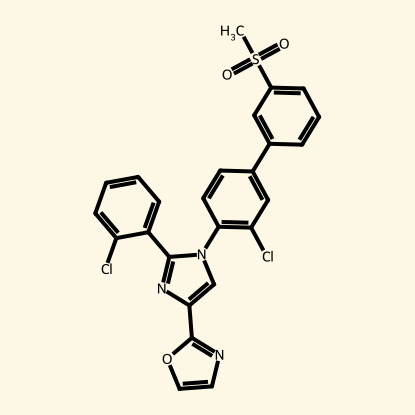 CS(=O)(=O)c1cccc(-c2ccc(-n3cc(-c4ncco4)nc3-c3ccccc3Cl)c(Cl)c2)c1